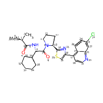 CN[C@@H](C)C(=O)N[C@H](C(=O)N1CCC[C@H]1c1nc(-c2ccnc3cc(Cl)ccc23)cs1)C1CCCCC1